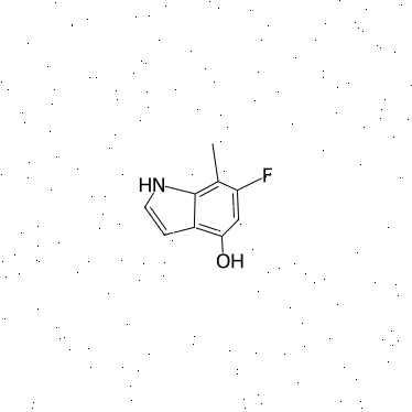 Cc1c(F)cc(O)c2cc[nH]c12